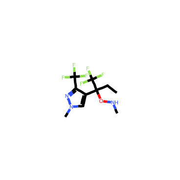 CCC(ONC)(c1cn(C)nc1C(F)(F)F)C(F)(F)F